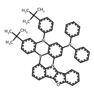 CC(C)(C)c1cccc(N2c3cc(C(C)(C)C)ccc3B3c4c2cc(N(c2ccccc2)c2ccccc2)cc4-n2c4c3cccc4c3oc4ccccc4c32)c1